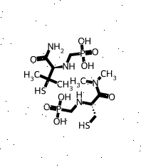 CC(C)(S)[C@H](NCP(=O)(O)O)C(N)=O.CN(C)C(=O)[C@H](CS)NCP(=O)(O)O